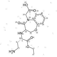 CCOC(=O)[C@H](CCN)NC1COc2ccccc2N(CC(=O)O)C1=O